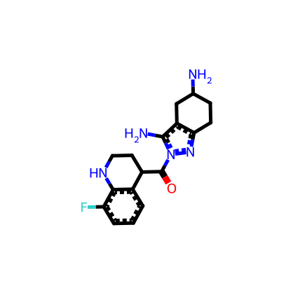 Nc1c2c(nn1C(=O)C1CCNc3c(F)cccc31)CCC(N)C2